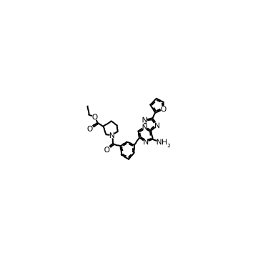 CCOC(=O)C1CCCN(C(=O)c2cccc(-c3cn4nc(-c5ccco5)nc4c(N)n3)c2)C1